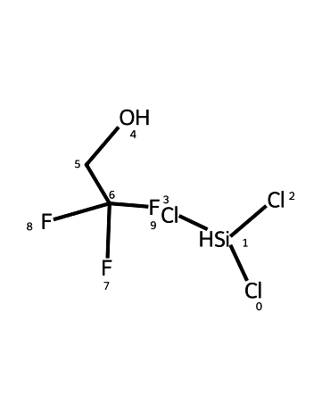 Cl[SiH](Cl)Cl.OCC(F)(F)F